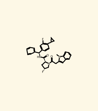 Cn1c(CC(=O)N2C[C@H](F)C[C@H]2C(=O)N[C@@H](c2ccccc2)c2ccc(C3CC3)c(F)c2)cc2ccccc21